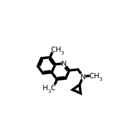 Cc1cc(CN(C)C2CC2)nc2c(C)cccc12